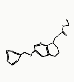 CCOC(=O)CC1CCCc2cc(OCc3ccccc3)cnc21